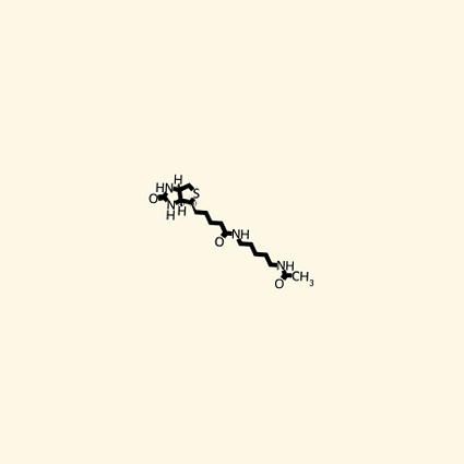 CC(=O)NCCCCCNC(=O)CCCC[C@@H]1SC[C@@H]2NC(=O)N[C@@H]21